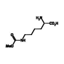 COC(=O)NCCCCC(N)C(=O)O